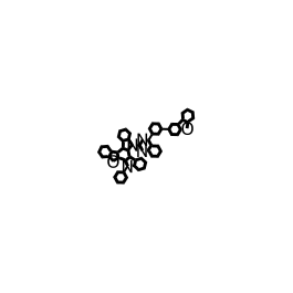 c1ccc(-n2c3ccccc3c3c2c2oc4ccccc4c2c2c4ccccc4n(-c4nc(-c5cccc(-c6ccc7oc8ccccc8c7c6)c5)c5ccccc5n4)c23)cc1